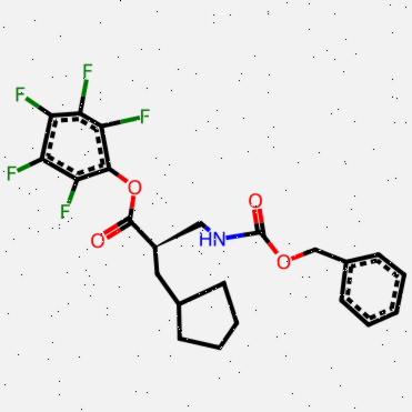 O=C(NC[C@@H](CC1CCCC1)C(=O)Oc1c(F)c(F)c(F)c(F)c1F)OCc1ccccc1